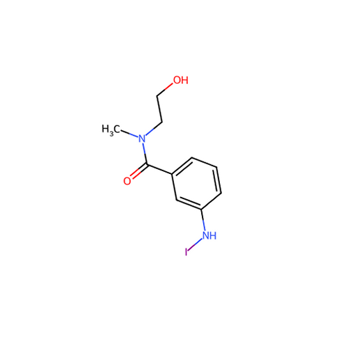 CN(CCO)C(=O)c1cccc(NI)c1